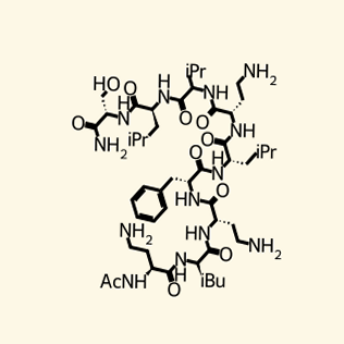 CC[C@H](C)C(NC(=O)[C@H](CCN)NC(C)=O)C(=O)N[C@@H](CCN)C(=O)N[C@H](Cc1ccccc1)C(=O)N[C@@H](CC(C)C)C(=O)N[C@@H](CCN)C(=O)NC(C(=O)N[C@@H](CC(C)C)C(=O)N[C@@H](CO)C(N)=O)C(C)C